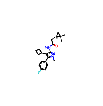 Cn1nc(NC(=O)C[C@H]2CC2(C)C)c(C2CCC2)c1-c1ccc(F)cc1